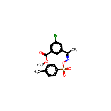 Cc1ccc(S(=O)(=O)ON=C(c2cc(Br)cc(C(=O)OC(C)(C)C)c2)C(F)(F)F)cc1